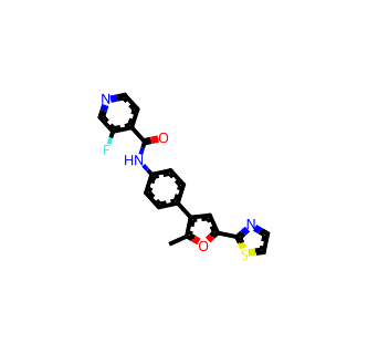 Cc1oc(-c2nccs2)cc1-c1ccc(NC(=O)c2ccncc2F)cc1